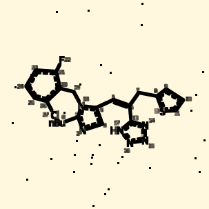 CCCCc1ncc(C=C(Cc2cccs2)c2nnn[nH]2)n1Cc1c(F)cccc1Cl